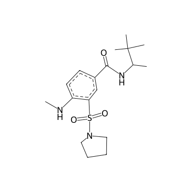 CNc1ccc(C(=O)NC(C)C(C)(C)C)cc1S(=O)(=O)N1CCCC1